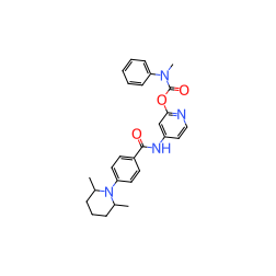 CC1CCCC(C)N1c1ccc(C(=O)Nc2ccnc(OC(=O)N(C)c3ccccc3)c2)cc1